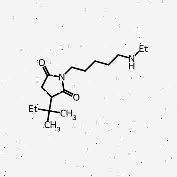 CCNCCCCCN1C(=O)CC(C(C)(C)CC)C1=O